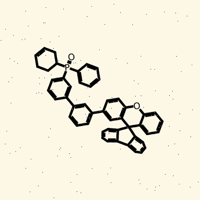 O=P(c1ccccc1)(c1cccc(-c2cccc(-c3ccc4c(c3)C3(c5ccccc5O4)c4ccccc4-c4ccccc43)c2)c1)C1CC=CCC1